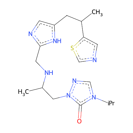 CC(Cn1ncn(C(C)C)c1=O)NCc1ncc(CC(C)c2cncs2)[nH]1